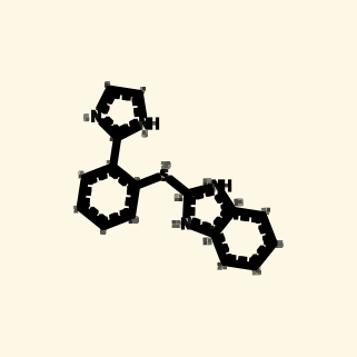 c1ccc(-c2ncc[nH]2)c(Sc2nc3ccccc3[nH]2)c1